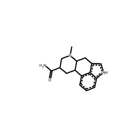 CN1CC(C(N)=O)CC2c3cccc4[nH]cc(c34)CC21